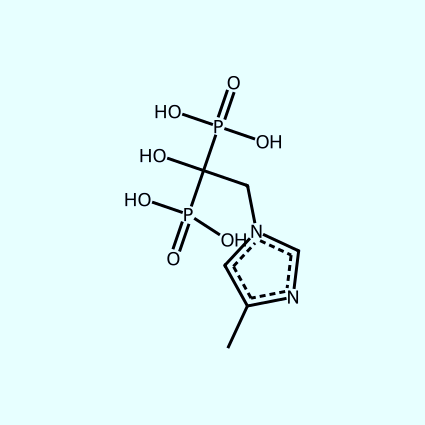 Cc1cn(CC(O)(P(=O)(O)O)P(=O)(O)O)cn1